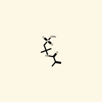 C=C(C)C(=O)NC(C)(C)CS(=O)(=O)OC